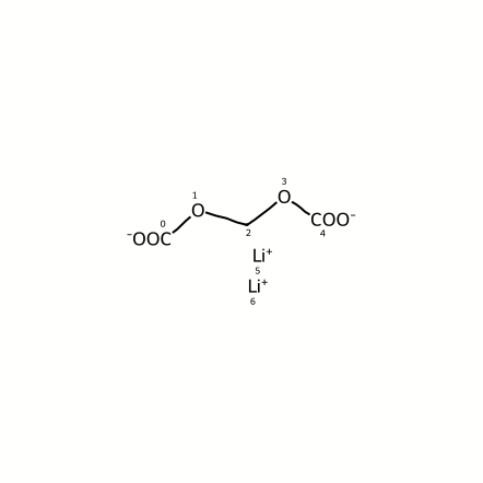 O=C([O-])OCOC(=O)[O-].[Li+].[Li+]